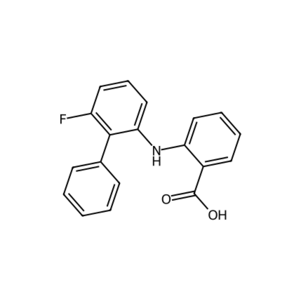 O=C(O)c1ccccc1Nc1cccc(F)c1-c1ccccc1